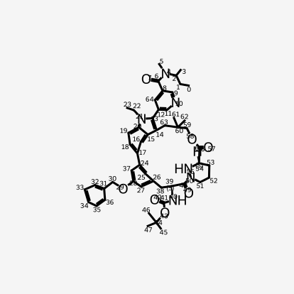 CCC(C)N(C)C(=O)c1cncc(-c2c3c4cc(ccc4n2CC)-c2cc(cc(OCc4ccccc4)c2)C[C@H](NC(=O)OC(C)(C)C)C(=O)N2CCC[C@H](N2)C(=O)OCC(C)(C)C3)c1